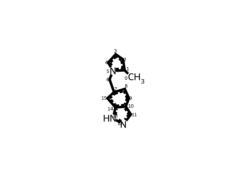 Cc1cccn1Cc1ccc2cn[nH]c2c1